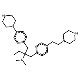 CCC(Cc1ccc(CCN2CCNCC2)cc1)(Cc1ccc(N2CCNCC2)cc1)N(C)C